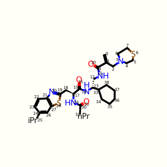 C=C(CN1CCSCC1)C(=O)NC[C@@H](NC(=O)[C@H](Cc1nc2ccc(C(C)C)cc2s1)NC(=O)CCC)C1CCCCC1